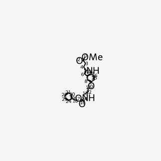 COC(=O)CCc1cc2cc(OCCCNC(=O)OCc3ccccc3)ccc2[nH]1